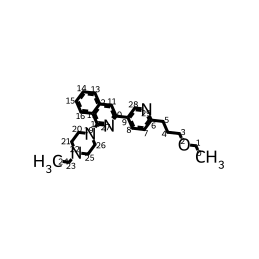 CCOCCCc1ccc(-c2cc3ccccc3c(N3CCN(CC)CC3)n2)cn1